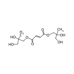 CC(O)(CO)COC(=O)C=CC(=O)OCC(C)(O)CO